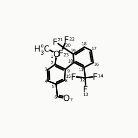 COc1ccc(C=O)cc1-c1c(C(F)(F)F)cccc1C(F)(F)F